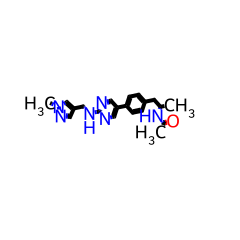 CC(=O)NC(C)Cc1ccc(-c2cnc(NCc3cnn(C)c3)nc2)cc1